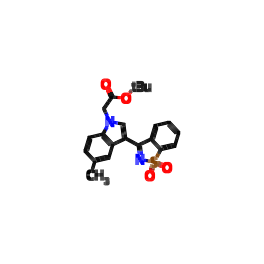 Cc1ccc2c(c1)c(C1=NS(=O)(=O)c3ccccc31)cn2CC(=O)OC(C)(C)C